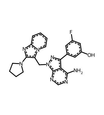 Nc1ncnc2c1c(-c1cc(O)cc(F)c1)nn2Cc1c(N2CCCC2)nc2ccccn12